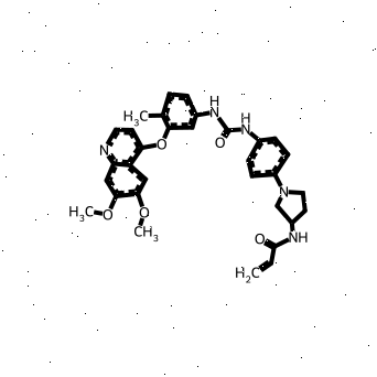 C=CC(=O)NC1CCN(c2ccc(NC(=O)Nc3ccc(C)c(Oc4ccnc5cc(OC)c(OC)cc45)c3)cc2)C1